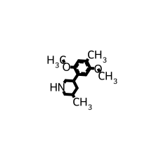 COc1cc(C2CNCC(C)C2)c(OC)cc1C